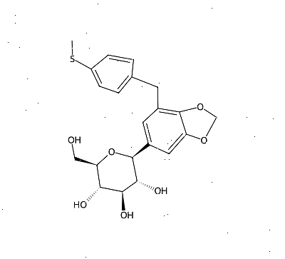 CSc1ccc(Cc2cc([C@@H]3O[C@H](CO)[C@@H](O)[C@H](O)[C@H]3O)cc3c2OCO3)cc1